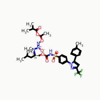 Cc1ccc(-c2cc(C(F)(F)F)nn2-c2ccc(S(=O)(=O)NC(=O)OC[C@H](CC(C)C)N(C)[N+]([O-])=NOC(C)OC(=O)C(C)C)cc2)cc1